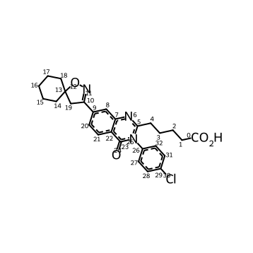 O=C(O)CCCCc1nc2cc(C3=NOC4(CCCCC4)C3)ccc2c(=O)n1-c1ccc(Cl)cc1